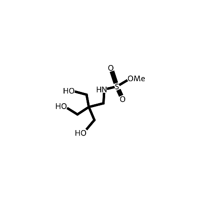 COS(=O)(=O)NCC(CO)(CO)CO